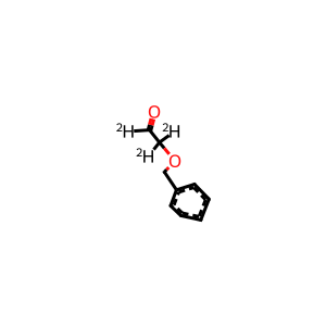 [2H]C(=O)C([2H])([2H])OCc1ccccc1